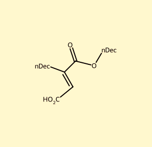 CCCCCCCCCCOC(=O)C(=CC(=O)O)CCCCCCCCCC